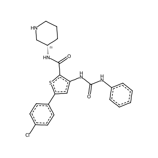 O=C(Nc1ccccc1)Nc1cc(-c2ccc(Cl)cc2)sc1C(=O)N[C@H]1CCCNC1